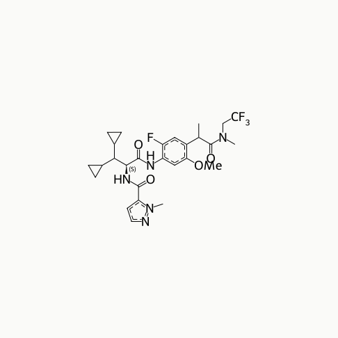 COc1cc(NC(=O)[C@@H](NC(=O)c2ccnn2C)C(C2CC2)C2CC2)c(F)cc1C(C)C(=O)N(C)CC(F)(F)F